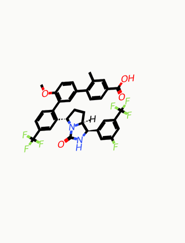 COc1ccc(-c2ccc(C(=O)O)cc2C)cc1-c1ccc(C(F)(F)F)cc1[C@@H]1CC[C@H]2[C@@H](c3cc(F)cc(C(F)(F)F)c3)NC(=O)N12